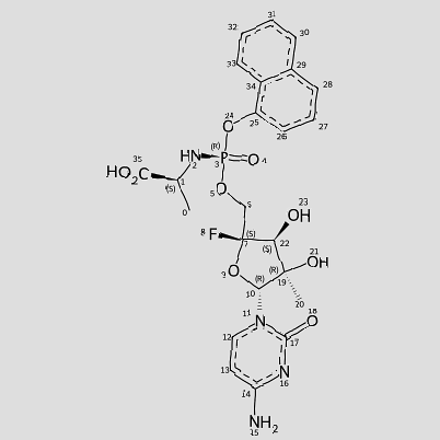 C[C@H](N[P@@](=O)(OC[C@@]1(F)O[C@@H](n2ccc(N)nc2=O)[C@](C)(O)[C@@H]1O)Oc1cccc2ccccc12)C(=O)O